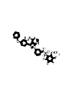 Nc1ncnc2c1c(-c1ccc(Oc3ccccc3)cc1)nn2-c1cccc(NS(=O)(=O)c2c(F)c(F)c(F)c(F)c2OC(F)(F)F)c1